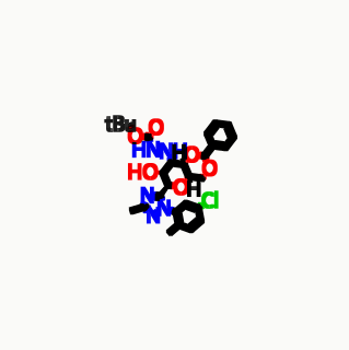 Cc1nc([C@@H]2O[C@@H]3COC(c4ccccc4)O[C@@H]3[C@H](NNC(=O)OC(C)(C)C)[C@H]2O)n(-c2cc(Cl)ccc2C)n1